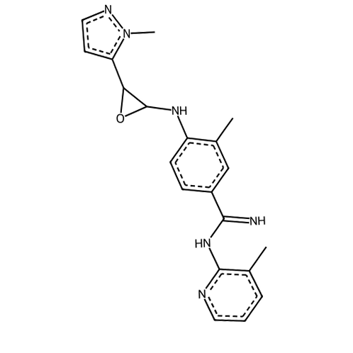 Cc1cc(C(=N)Nc2ncccc2C)ccc1NC1OC1c1ccnn1C